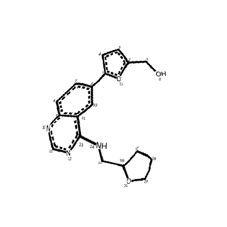 OCc1ccc(-c2ccc3ncnc(NCC4CCCO4)c3c2)o1